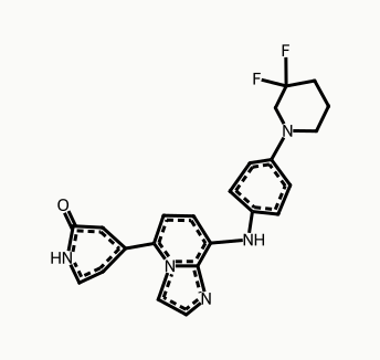 O=c1cc(-c2ccc(Nc3ccc(N4CCCC(F)(F)C4)cc3)c3nccn23)cc[nH]1